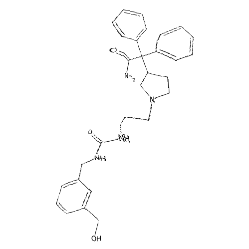 NC(=O)C(c1ccccc1)(c1ccccc1)C1CCN(CCNC(=O)NCc2cccc(CO)c2)C1